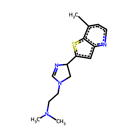 Cc1ccnc2cc(C3CN(CCN(C)C)C=N3)sc12